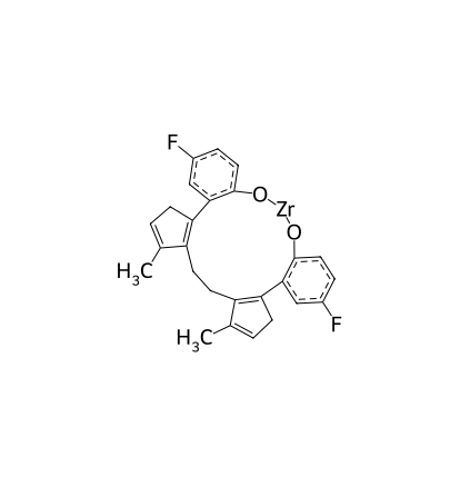 CC1=CCC2=C1CCC1=C(CC=C1C)c1cc(F)ccc1[O][Zr][O]c1ccc(F)cc12